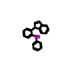 C1=CC(c2ccccc2Pc2ccccc2)c2ccccc21